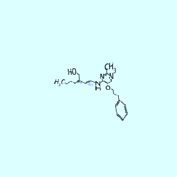 CCCC[C@H](/C=C/Nc1nc(C)ncc1OCCCc1ccccc1)CO